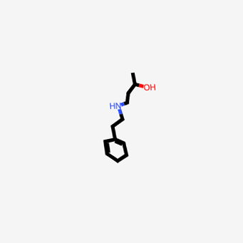 CC(O)CCNCCC1=CC[CH]C=C1